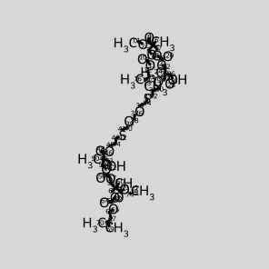 CCOC(=O)C(C)(COC(=O)OCCC(C)C)COC(=O)OCC(C)(CO)C(=O)OCCCSCCOCCOCCSCCCOC(=O)C(C)(CO)COC(=O)OCC(C)(COC(=O)OCCC(C)C)C(=O)OCC